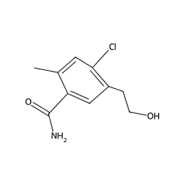 Cc1cc(Cl)c(CCO)cc1C(N)=O